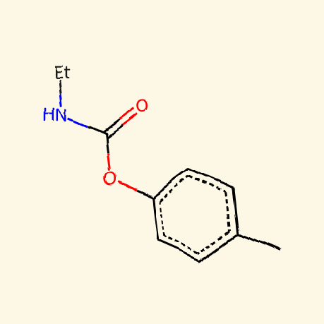 CCNC(=O)Oc1ccc(C)cc1